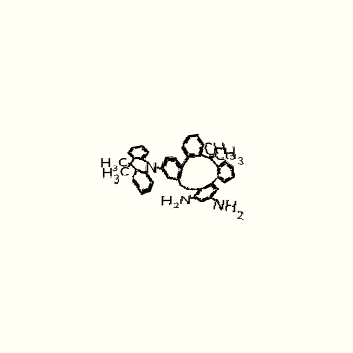 CC1(C)c2ccccc2-c2ccc(N3c4ccccc4C(C)(C)c4ccccc43)cc2CCc2c(N)cc(N)cc2-c2ccccc21